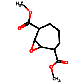 COC(=O)C1CCCC(C(=O)OC)C2OC12